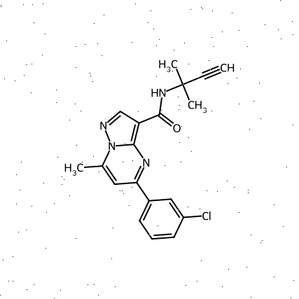 C#CC(C)(C)NC(=O)c1cnn2c(C)cc(-c3cccc(Cl)c3)nc12